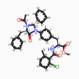 COC(=O)[C@H](Cc1ccc(N2C(=O)[C@@H](Cc3ccccc3)N(C(C)=O)[C@@H]2c2ccccc2)cc1)NC(=O)c1c(C)cccc1Cl